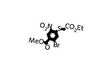 CCOC(=O)CSc1cc(Br)c(C(=O)OC)cc1[N+](=O)[O-]